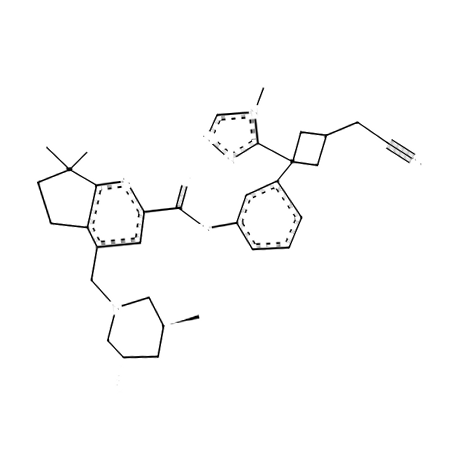 C[C@H]1C[C@H](O)CN(Cc2cc(C(=O)Nc3cccc(C4(c5nncn5C)CC(CC#N)C4)c3)nc3c2CCC3(C)C)C1